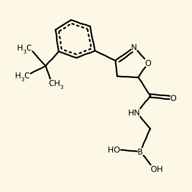 CC(C)(C)c1cccc(C2=NOC(C(=O)NCB(O)O)C2)c1